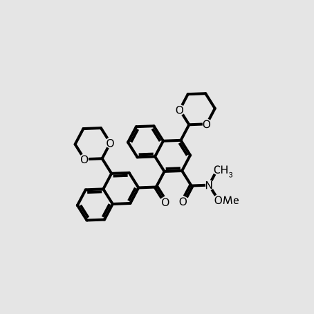 CON(C)C(=O)c1cc(C2OCCCO2)c2ccccc2c1C(=O)c1cc(C2OCCCO2)c2ccccc2c1